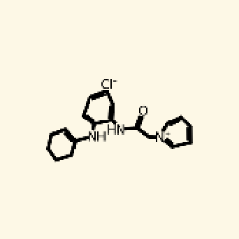 O=C(C[n+]1ccccc1)Nc1ccccc1NC1=CCCCC1.[Cl-]